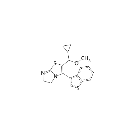 COC(C1=C(c2csc3ccccc23)N2CCN=C2S1)C1CC1